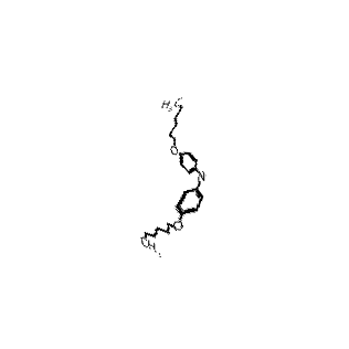 CCCCCCOc1ccc([N]c2ccc(OCCCCCC)cc2)cc1